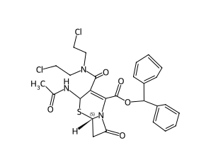 CC(=O)NC1S[C@H]2CC(=O)N2C(C(=O)OC(c2ccccc2)c2ccccc2)=C1C(=O)N(CCCl)CCCl